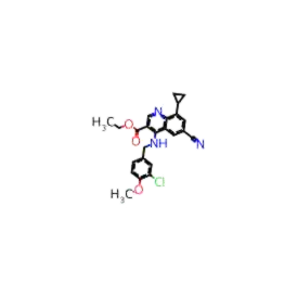 CCOC(=O)c1cnc2c(C3CC3)cc(C#N)cc2c1NCc1ccc(OC)c(Cl)c1